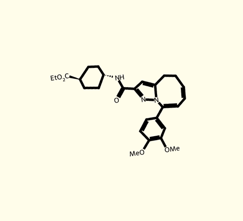 CCOC(=O)[C@H]1CC[C@H](NC(=O)c2cc3n(n2)/C(c2ccc(OC)c(OC)c2)=C\C=C/CC3)CC1